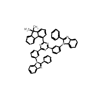 CC1(C)c2ccccc2-c2c(-c3nc(-c4cccc(-n5c(-c6ccccc6)nc6ccccc65)c4)nc(-c4cccc(-n5c(-c6ccccc6)nc6ccccc65)c4)n3)cccc21